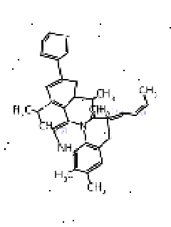 C=C1/C(=C/C=C\C)Cc2cc(C)c(C)cc2N1/C(=C\N)C1=C(C(C)C)C=C(c2ccccc2)CC1C(C)C